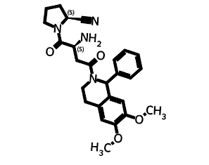 COc1cc2c(cc1OC)C(c1ccccc1)N(C(=O)C[C@H](N)C(=O)N1CCC[C@H]1C#N)CC2